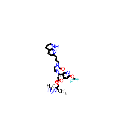 CC(C)(N)COC(=O)C[C@@H](c1ccc(OC(F)F)nc1)N1CCN(CCCc2ccc3c(n2)NCCC3)C1=O